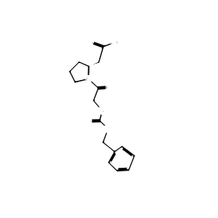 O=C(O)C[C@@H]1CCCN1C(=O)CNC(=O)OCc1ccccc1